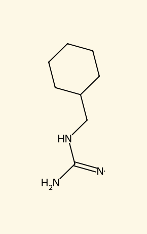 [N]=C(N)NCC1CCCCC1